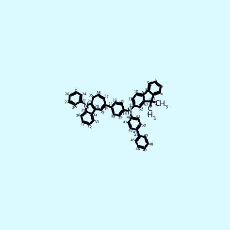 CC1(C)c2ccccc2-c2ccc(N(c3ccc(C4=Cc5c(n(-c6ccccc6)c6ccccc56)CC=C4)cc3)c3ccc(-c4ccccc4)cc3)cc21